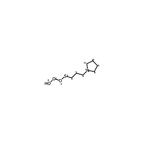 OOOSCCCN1CCCC1